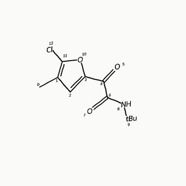 Cc1cc(C(=O)C(=O)NC(C)(C)C)oc1Cl